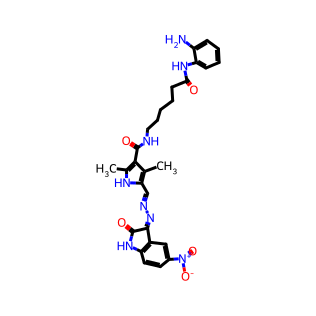 Cc1[nH]c(C=NN=C2C(=O)Nc3ccc([N+](=O)[O-])cc32)c(C)c1C(=O)NCCCCCC(=O)Nc1ccccc1N